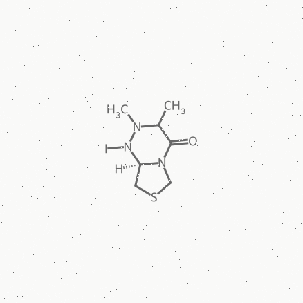 CC1C(=O)N2CSC[C@H]2N(I)N1C